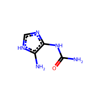 NC(=O)Nc1nc[nH]c1N